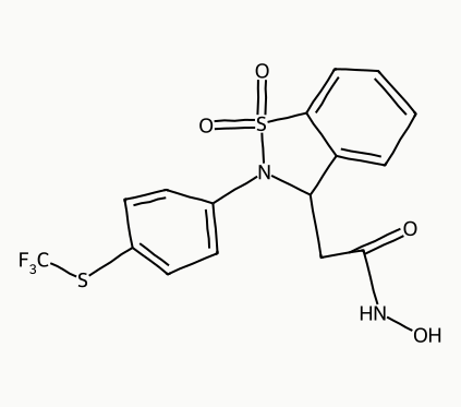 O=C(CC1c2ccccc2S(=O)(=O)N1c1ccc(SC(F)(F)F)cc1)NO